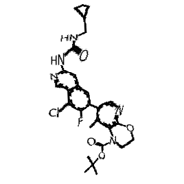 Cc1c(-c2cc3cc(NC(=O)NCC4CC4)ncc3c(Cl)c2F)cnc2c1N(C(=O)OC(C)(C)C)CCO2